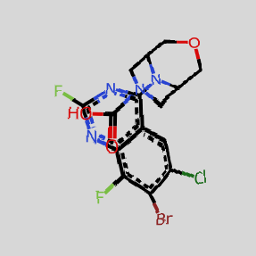 O=C(O)N1CC2COCC(C1)N2c1nc(F)nc2c(F)c(Br)c(Cl)cc12